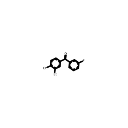 CCc1ccc(C(=O)c2cccc(F)c2)cc1CC